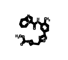 COC(=O)N1CC(Cc2nc(-c3ccc(C)c(NC(=O)c4cnc5ccccn45)c3)no2)C1